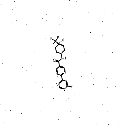 O=C(NC1CCC(O)(C(F)(F)F)CC1)c1ccc(-c2cccc(F)c2)nc1